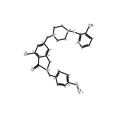 N#Cc1cccnc1CN1CCN(Cc2cc(Cl)c3c(c2)CN(Cc2ccc(OC(F)(F)F)cc2)C3=O)CC1